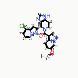 COc1ccc2c(C(=O)N3CCc4[nH]cnc4[C@H]3c3cc4c(Cl)cccn4n3)cnn2c1